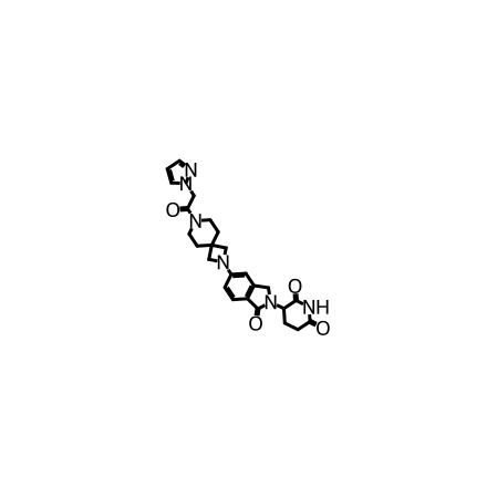 O=C1CCC(N2Cc3cc(N4CC5(CCN(C(=O)Cn6cccn6)CC5)C4)ccc3C2=O)C(=O)N1